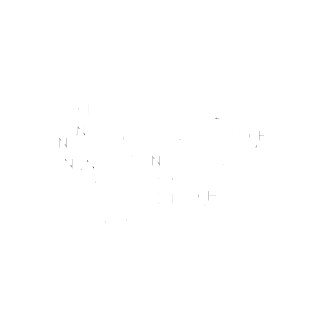 Cc1cccc(-n2nnn(C)c2=O)c1/C=N\OC(C)c1cccc(C(F)(F)F)c1